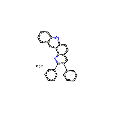 [Pt+2].c1ccc(-c2cc3ccc4nc5ccccc5cc4c3nc2-c2ccccc2)cc1